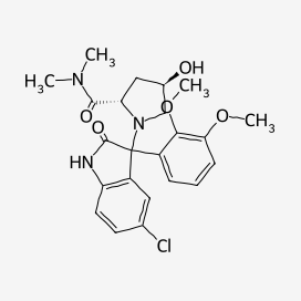 COc1cccc(C2(N3C[C@H](O)C[C@H]3C(=O)N(C)C)C(=O)Nc3ccc(Cl)cc32)c1OC